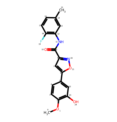 COc1ccc(-c2cc(C(=O)Nc3cc(C)ccc3F)no2)cc1O